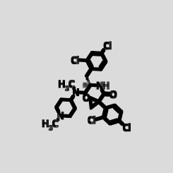 CN1CCC(N(C)C(=O)[C@H](Cc2ccc(Cl)cc2Cl)NC(=O)C2(c3ccc(Cl)cc3Cl)CC2)CC1